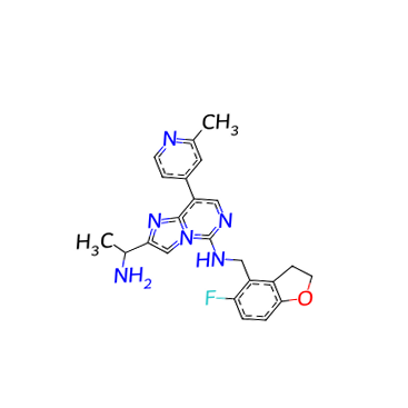 Cc1cc(-c2cnc(NCc3c(F)ccc4c3CCO4)n3cc(C(C)N)nc23)ccn1